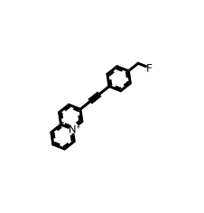 FCc1ccc(C#Cc2ccc3cccc[n+]3c2)cc1